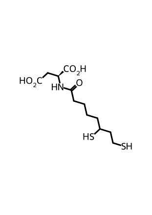 O=C(O)C[C@H](NC(=O)CCCCC(S)CCS)C(=O)O